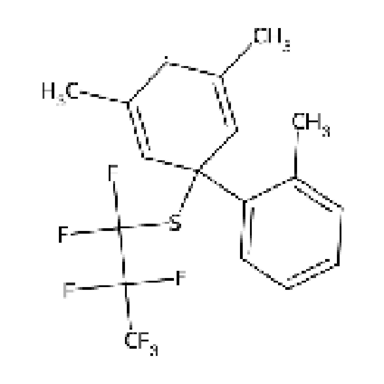 CC1=CC(SC(F)(F)C(F)(F)C(F)(F)F)(c2ccccc2C)C=C(C)[CH]1